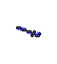 c1ccc2nc(-c3ccc4cc(-c5ccc6nc(-c7c8ccccc8c(-c8ccc9ccc%10cccnc%10c9n8)c8ccccc78)ccc6c5)ccc4n3)ccc2c1